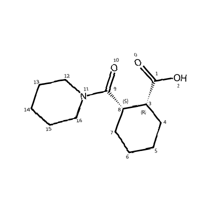 O=C(O)[C@@H]1CCCC[C@@H]1C(=O)N1CCCCC1